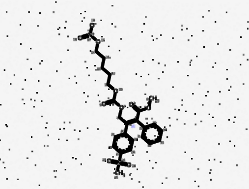 COC(=O)/C(=C(\COC(=O)OCCCCCO[N+](=O)[O-])c1ccc(S(C)(=O)=O)cc1)c1ccccc1